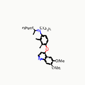 CCCCCC(C)N(C(=O)O)c1ccc(Oc2ccnc3cc(OC)c(OC)cc23)c(C)c1C